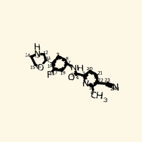 Cc1nc(C(=O)Nc2ccc([C@H]3CNCCO3)c(F)c2)ccc1C#N